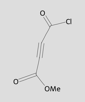 COC(=O)C#CC(=O)Cl